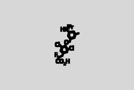 Cc1cc(COc2c(Cl)cc(CC(F)C(=O)O)cc2Cl)cc(NC(C)C)c1